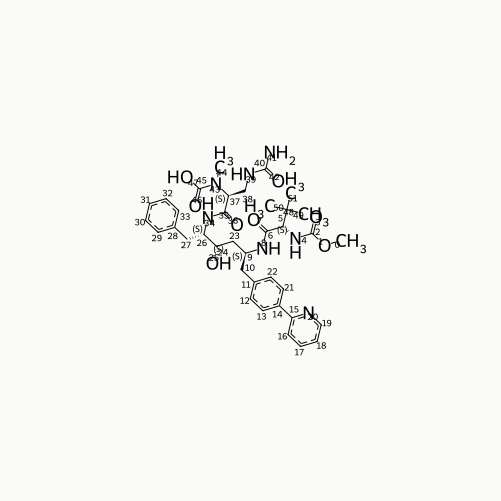 COC(=O)N[C@H](C(=O)N[C@@H](Cc1ccc(-c2ccccn2)cc1)C[C@H](O)[C@H](Cc1ccccc1)NC(=O)[C@H](CNC(N)=O)N(C)C(=O)O)C(C)(C)C